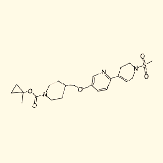 CC1(OC(=O)N2CCC(COc3ccc(C4=CCN(S(C)(=O)=O)CC4)nc3)CC2)CC1